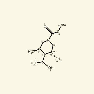 CC(O)N1[C@@H](C)CN(C(=O)OC(C)(C)C)C[C@@H]1C